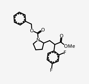 COC(=O)C(CC1CCCN1C(=O)OCc1ccccc1)c1ccc(F)cc1F